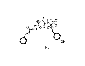 C[C@H](NC(=O)CNC(=O)OCc1ccccc1)C(=O)NC(O)(CCc1ccc(O)cc1)S(=O)(=O)[O-].[Na+]